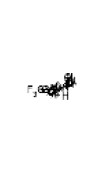 Cc1cc2c(OCC(F)(F)F)ccc(F)c2n1CCNc1ccnc(Cl)c1